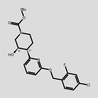 CC(C)(C)OC(=O)N1CC[C@@H](c2cccc(OCc3ccc(Cl)cc3F)n2)[C@@H](O)C1